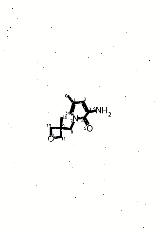 Cc1cc(N)c(=O)n(CC2(C)COC2)c1